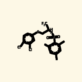 Cc1cc(C)c(S(=O)(=O)NC(CSc2ccc(Cl)c(Cl)c2)C(F)(F)F)c(C)c1